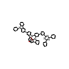 c1ccc(-c2nc(-c3ccccc3)nc(-c3cccc(-c4ccc(-n5c6ccccc6c6cc(-c7ccc8c(c7)c7ccccc7n8-c7ccccc7)ccc65)c(-n5c6ccccc6c6ccccc65)c4)c3)n2)cc1